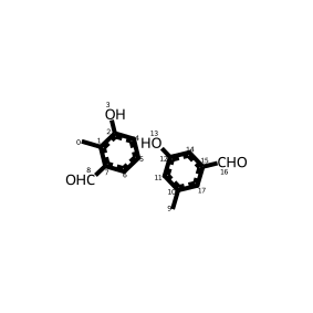 Cc1c(O)cccc1C=O.Cc1cc(O)cc(C=O)c1